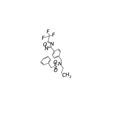 CCCN(Cc1ccc(-c2noc(C(F)(F)F)n2)cc1)S(=O)(=O)Cc1ccccc1